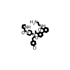 CC(c1cccc(-c2ccccc2C(=O)NCCN)c1)N(C(=O)Cc1ccc(Cl)cc1)C1CCN(C(=O)c2ccc[nH]2)CC1